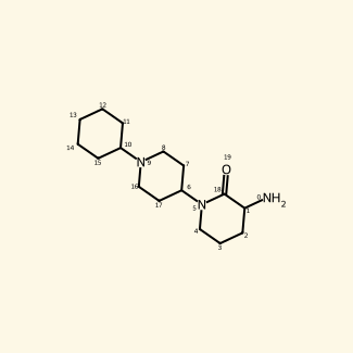 NC1CCCN(C2CCN(C3CCCCC3)CC2)C1=O